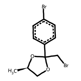 C[C@@H]1COC(CBr)(c2ccc(Br)cc2)O1